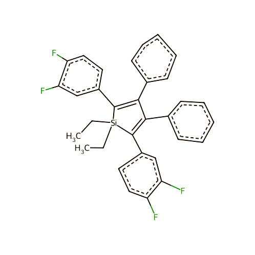 CC[Si]1(CC)C(c2ccc(F)c(F)c2)=C(c2ccccc2)C(c2ccccc2)=C1c1ccc(F)c(F)c1